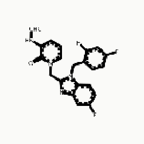 O=CNc1cccn(Cc2nc3cc(F)ccc3n2Cc2ccc(F)cc2F)c1=O